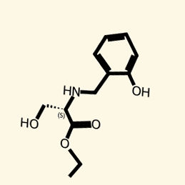 CCOC(=O)[C@H](CO)NCc1ccccc1O